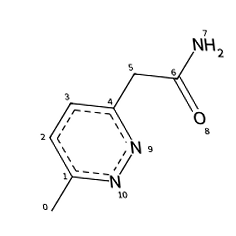 Cc1ccc(CC(N)=O)nn1